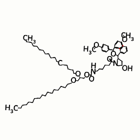 CCCCCCCCCCCCCCCCCCOCC(COC(=O)NCCCCCC(=O)N1CC(O)CC1C(OC(c1ccc(OC)cc1)c1ccc(OC)cc1)c1ccccc1)OCCCCCCCCCCCCCCCCCC